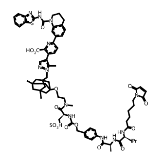 Cc1c(-c2ccc(-c3ccc4c(c3)N(C(=O)Nc3nc5ccccc5s3)CCC4)nc2C(=O)O)cnn1CC12CC3(C)CC(C)(C1)CC(OCCN(C)C(=O)[C@H](CS(=O)(=O)O)NC(=O)OCc1ccc(NC(=O)[C@H](C)NC(=O)[C@@H](NC(=O)CCCCCN4C(=O)C=CC4=O)C(C)C)cc1)(C3)C2